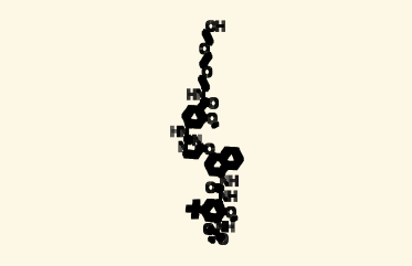 COc1cc(Nc2nccc(Oc3ccc(NC(=O)Nc4cc(C(C)(C)C)cc(NS(C)(=O)=O)c4OC)c4ccccc34)n2)ccc1C(=O)NCCOCCOCCO